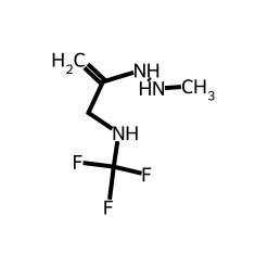 C=C(CNC(F)(F)F)NNC